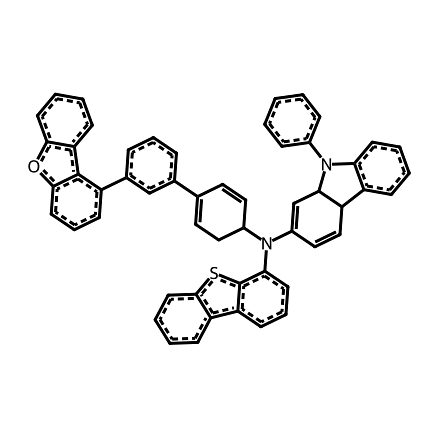 C1=CC(N(C2=CC3C(C=C2)c2ccccc2N3c2ccccc2)c2cccc3c2sc2ccccc23)CC=C1c1cccc(-c2cccc3oc4ccccc4c23)c1